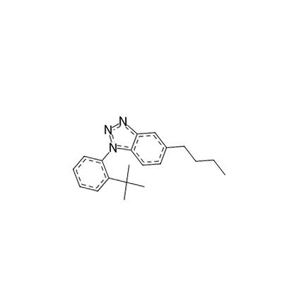 CCCCc1ccc2c(c1)nnn2-c1ccccc1C(C)(C)C